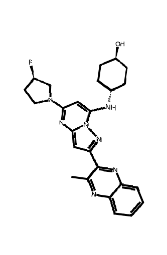 Cc1nc2ccccc2nc1-c1cc2nc(N3CC[C@@H](F)C3)cc(N[C@H]3CC[C@H](O)CC3)n2n1